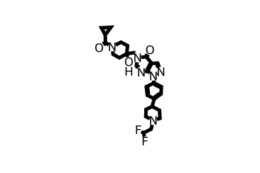 O=C(C1CC1)N1CCC(O)(Cn2cnc3c(cnn3-c3ccc(C4CCN(CC(F)F)CC4)cc3)c2=O)CC1